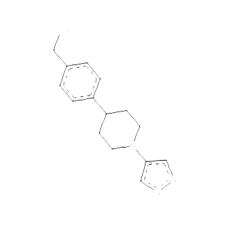 COCc1ccc(C2CCN(c3cn[nH]c3)CC2)cc1